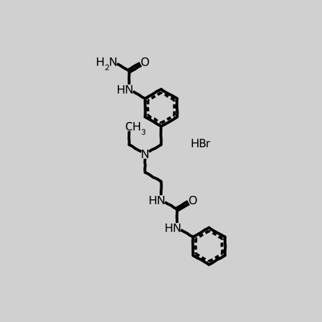 Br.CCN(CCNC(=O)Nc1ccccc1)Cc1cccc(NC(N)=O)c1